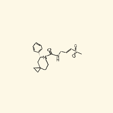 CS(=O)(=O)/C=C/CNC(=O)N1CCC2(CC2)C[C@@H]1c1ccccc1